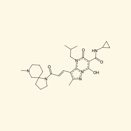 Cc1nn2c(O)c(C(=O)NC3CC3)c(=O)n(CC(C)C)c2c1C=CC(=O)N1CCCC12CCCN(C)C2